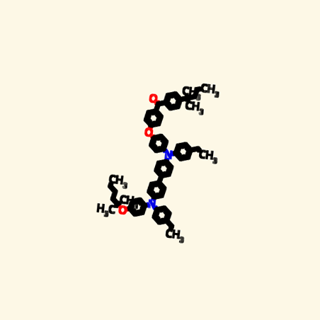 CCCCC(C)(C)Oc1ccc(N(c2ccc(CC)cc2)c2ccc(-c3ccc(N(c4ccc(CC)cc4)c4ccc(Oc5ccc(C(=O)c6ccc(C(C)(C)CCC)cc6)cc5)cc4)cc3)cc2)cc1